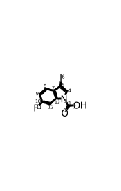 O=C(O)n1cc(I)c2ccc(F)cc21